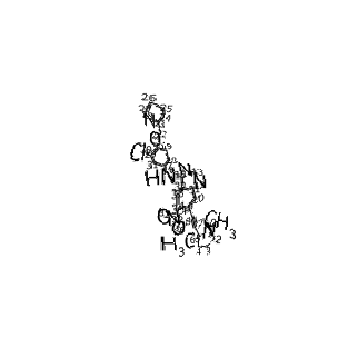 CN1CCCC1(C)C#Cc1cc2ncnc(Nc3ccc(OCc4ccccn4)c(Cl)c3)c2cc1[N+](=O)[O-]